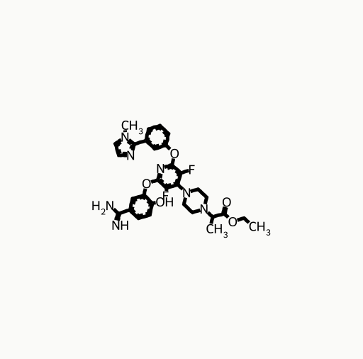 CCOC(=O)C(C)N1CCN(c2c(F)c(Oc3cccc(-c4nccn4C)c3)nc(Oc3cc(C(=N)N)ccc3O)c2F)CC1